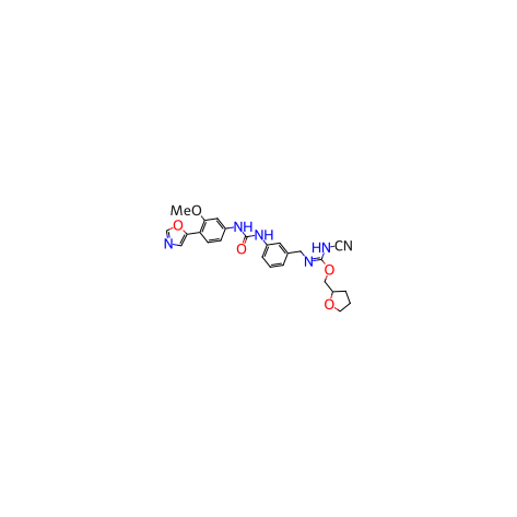 COc1cc(NC(=O)Nc2cccc(C/N=C(\NC#N)OCC3CCCO3)c2)ccc1-c1cnco1